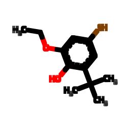 CCOc1cc(S)cc(C(C)(C)C)c1O